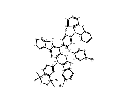 Cc1ccccc1N(c1ccc(-c2c3c(cc4c2oc2ccccc24)N(c2ccc4c(c2)C(C)(C)CCC4(C)C)c2c(sc4ccc(C(C)(C)C)cc24)B3)c(Nc2ccc(C(C)(C)C)cc2)c1)c1ccccc1C